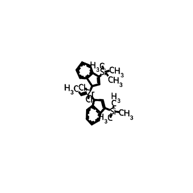 C[CH]=[Zr]([Cl])([Cl])([CH]1C=C([Si](C)(C)C)c2ccccc21)[CH]1C=C([Si](C)(C)C)c2ccccc21